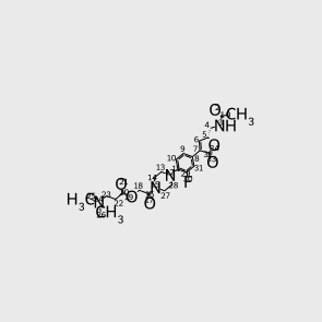 CC(=O)NC[C@H]1C=C(c2ccc(N3CCN(C(=O)COC(=O)CCN(C)C)CC3)c(F)c2)C(=O)O1